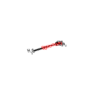 CCCCCCCCCCCCCCOCCOCCOCCOCCOCCOC1(C)CCCC(C)(C)C1(O)/C=C/C(C)=O